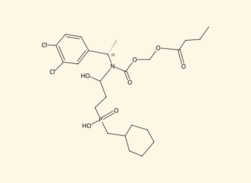 CCCC(=O)OCOC(=O)N(C(O)CCP(=O)(O)CC1CCCCC1)[C@@H](C)c1ccc(Cl)c(Cl)c1